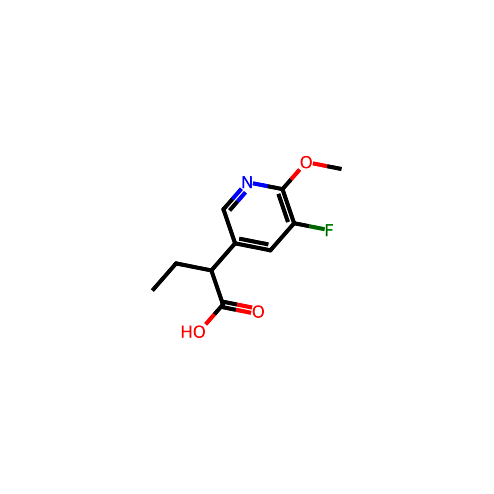 CCC(C(=O)O)c1cnc(OC)c(F)c1